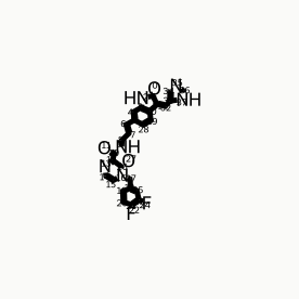 O=C1Nc2cc(/C=C/CNC(=O)c3nccn(Cc4ccc(F)c(F)c4)c3=O)ccc2/C1=C/c1cnc[nH]1